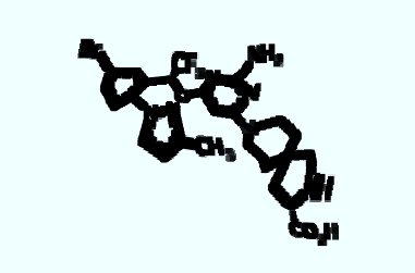 Cc1ccn(-c2ccc(Br)cc2[C@@H](Oc2cc(N3CCC4(CC3)CN[C@H](C(=O)O)C4)nc(N)n2)C(F)(F)F)n1